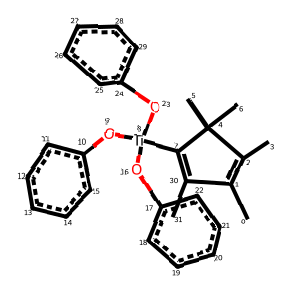 CC1=C(C)C(C)(C)[C]([Ti]([O]c2ccccc2)([O]c2ccccc2)[O]c2ccccc2)=C1C